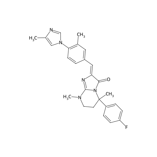 Cc1cn(-c2ccc(/C=C3\N=C4N(C)CCC(C)(c5ccc(F)cc5)N4C3=O)cc2C)cn1